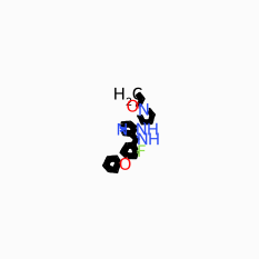 C=CC(=O)N1CCC[C@@H](Nc2ccncc2C(=N)c2ccc(Oc3ccccc3)cc2F)C1